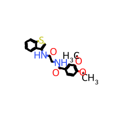 COc1ccc(C(=O)NCC(=O)Nc2csc3ccccc23)cc1OC